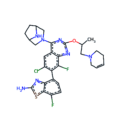 CC(CN1CC=CCC1)Oc1nc(N2CC3CCC(C2)N3)c2cc(Cl)c(-c3ccc(F)c4sc(N)nc34)c(F)c2n1